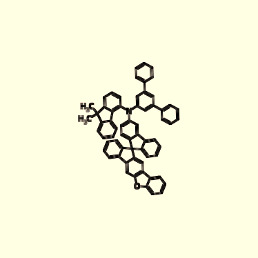 CC1(C)c2ccccc2-c2c(N(c3cc(-c4ccccc4)cc(-c4ccccc4)c3)c3ccc4c(c3)-c3ccccc3C43c4ccccc4-c4cc5oc6ccccc6c5cc43)cccc21